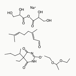 CC(C)=CCCC(C)=CC=O.CCCC(C)C1(CC)C(=O)N=C([O-])NC1=O.CCOC(C)OCC.O=C(OC(=O)C(O)CO)C(O)CO.[Na+]